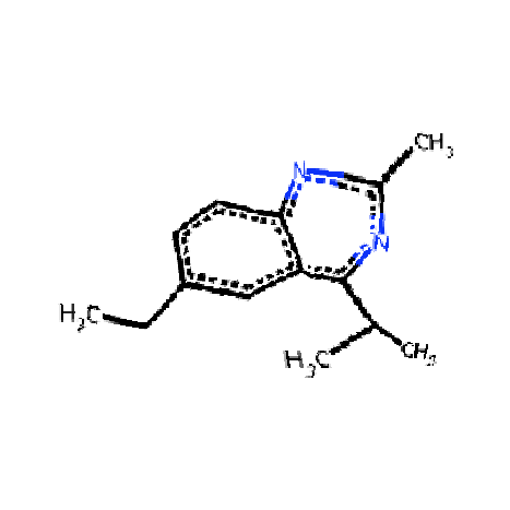 CCc1ccc2nc(C)nc(C(C)C)c2c1